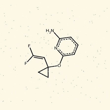 Nc1cccc(OC2(C=C(F)F)CC2)n1